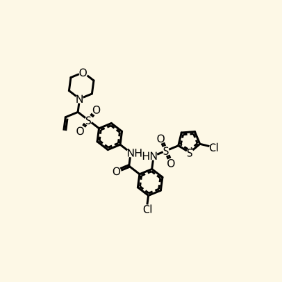 C=CC(N1CCOCC1)S(=O)(=O)c1ccc(NC(=O)c2cc(Cl)ccc2NS(=O)(=O)c2ccc(Cl)s2)cc1